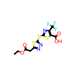 CCOC(=O)Cc1nnc(Sc2nc(C(F)(F)F)c(C(=O)O)s2)s1